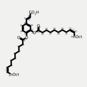 CCCCCCCC/C=C\CCCCCCCC(=O)Oc1ccc(/C=C/C(=O)O)cc1OC(=O)CCCCCCC/C=C\CCCCCCCC